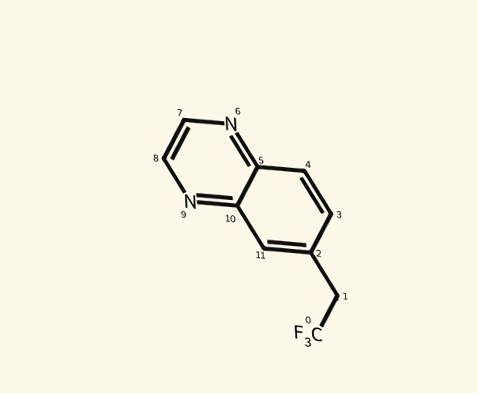 FC(F)(F)[CH]c1ccc2nccnc2c1